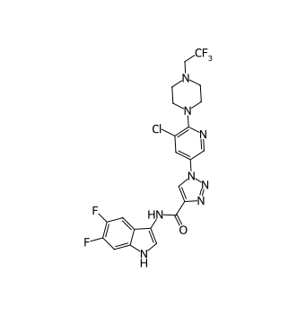 O=C(Nc1c[nH]c2cc(F)c(F)cc12)c1cn(-c2cnc(N3CCN(CC(F)(F)F)CC3)c(Cl)c2)nn1